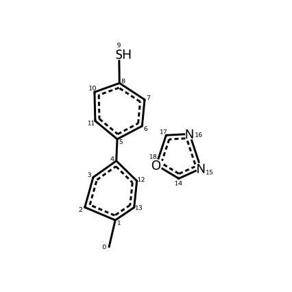 Cc1ccc(-c2ccc(S)cc2)cc1.c1nnco1